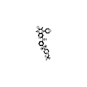 CC1C(=O)N(C)c2cnc(Nc3cccc(S(=O)(=O)N4CCN(CC(F)(F)F)CC4)c3)cc2N1C1CCOCC1